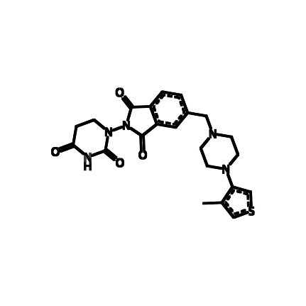 Cc1cscc1N1CCN(Cc2ccc3c(c2)C(=O)N(N2CCC(=O)NC2=O)C3=O)CC1